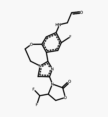 O=CCNc1cc2c(cc1F)-c1nc(N3C(=O)OCC3C(F)F)cn1CCO2